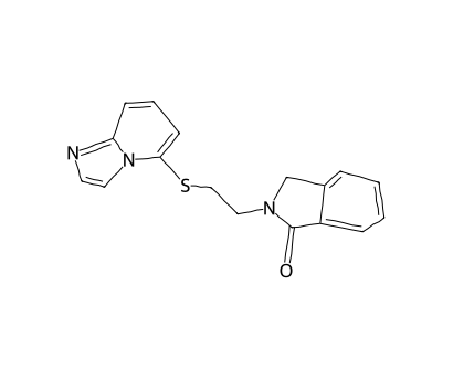 O=C1c2ccccc2CN1CCSc1cccc2nccn12